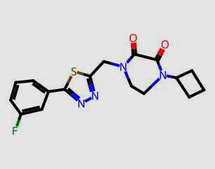 O=C1C(=O)N(C2CCC2)CCN1Cc1nnc(-c2cccc(F)c2)s1